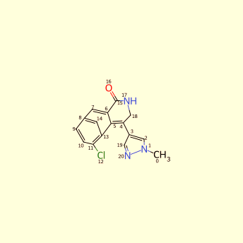 Cn1cc(C2=c3c(cc4ccc(Cl)c3c4)C(=O)NC2)cn1